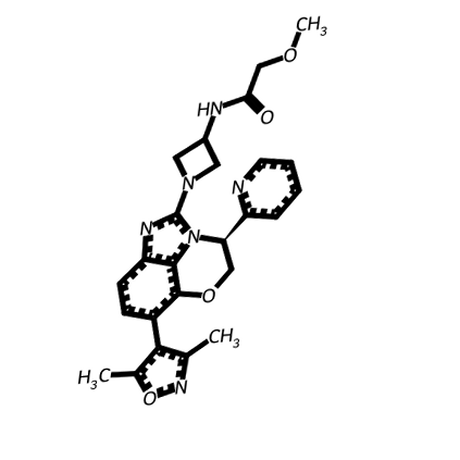 COCC(=O)NC1CN(c2nc3ccc(-c4c(C)noc4C)c4c3n2[C@@H](c2ccccn2)CO4)C1